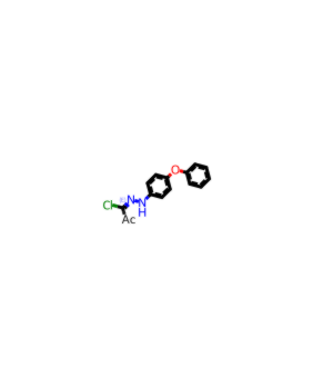 CC(=O)/C(Cl)=N\Nc1ccc(Oc2ccccc2)cc1